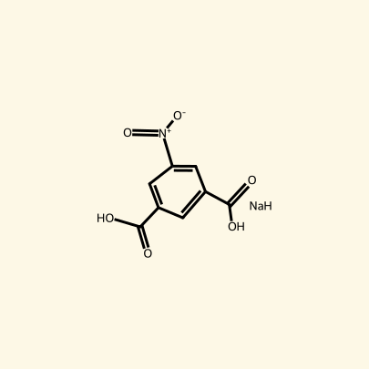 O=C(O)c1cc(C(=O)O)cc([N+](=O)[O-])c1.[NaH]